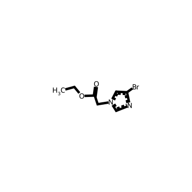 CCOC(=O)Cn1cnc(Br)c1